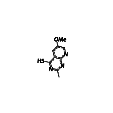 COc1cnc2nc(C)nc(S)c2c1